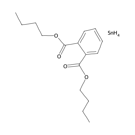 CCCCOC(=O)c1ccccc1C(=O)OCCCC.[SnH4]